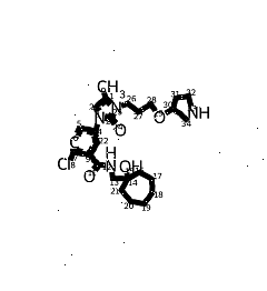 Cc1cn(-c2ccc(Cl)c(C(=O)NCC3(O)CCCCCC3)c2)c(=O)n1CCCOC1CCNC1